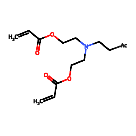 C=CC(=O)OCCN(CCOC(=O)C=C)CCC(C)=O